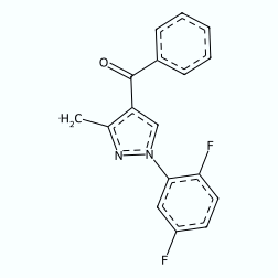 [CH2]c1nn(-c2cc(F)ccc2F)cc1C(=O)c1ccccc1